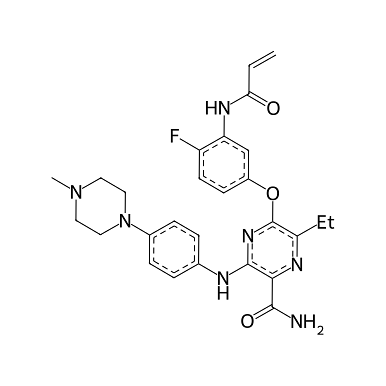 C=CC(=O)Nc1cc(Oc2nc(Nc3ccc(N4CCN(C)CC4)cc3)c(C(N)=O)nc2CC)ccc1F